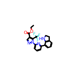 CCOC(=O)c1cnn(-c2cccc(-c3cccc4c3NCC4)n2)c1C(F)(F)F